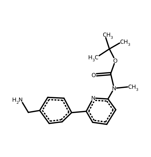 CN(C(=O)OC(C)(C)C)c1cccc(-c2ccc(CN)cc2)n1